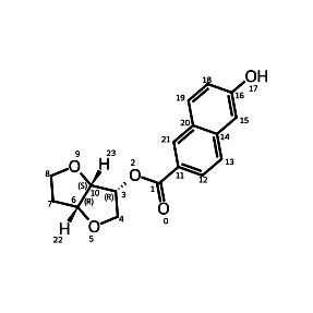 O=C(O[C@@H]1CO[C@@H]2CCO[C@@H]21)c1ccc2cc(O)ccc2c1